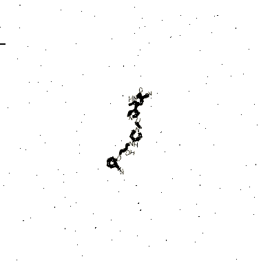 Cc1[nH]c(=O)c(C#N)cc1-c1ccnc(OCCN2CCC(NCC(O)COc3ccccc3C#N)CC2)c1